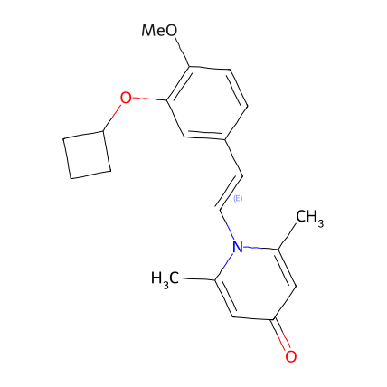 COc1ccc(/C=C/n2c(C)cc(=O)cc2C)cc1OC1CCC1